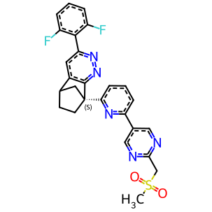 CS(=O)(=O)Cc1ncc(-c2cccc([C@]34CCC(C3)c3cc(-c5c(F)cccc5F)nnc34)n2)cn1